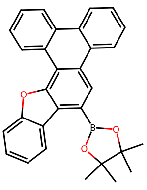 CC1(C)OB(c2cc3c4ccccc4c4ccccc4c3c3oc4ccccc4c23)OC1(C)C